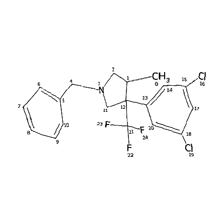 CC1CN(Cc2ccccc2)CC1(c1cc(Cl)cc(Cl)c1)C(F)(F)F